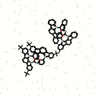 CC(C)(C)c1ccc2c(c1)c1ccc3c4cc(C(C)(C)C)ccc4n(-c4ncnc(-n5c6ccc(C(C)(C)C)cc6c6ccc7c8cc(C(C)(C)Cc9ccc%10c(c9)c9ccc%11c%12ccccc%12n(-c%12nc(-c%13ccccc%13)nc(-n%13c%14ccccc%14c%14ccc%15c%16ccccc%16n(-c%16ccccc%16)c%15c%14%13)n%12)c%11c9n%10-c9ccccc9)ccc8n(-c8ccccc8)c7c65)n4)c3c1n2-c1ccccc1